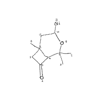 CC12CC(=O)C1C(C)(C)OC(O)C2